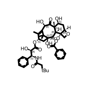 CC(=O)O[C@@]12CO[C@@H]1C[C@H](O)[C@@]1(C)C(=O)[C@H](O)C3=C(C)[C@@H](OC(=O)[C@H](O)[C@@H](NC(=O)CC(C)(C)C)c4ccccc4)C[C@@](O)([C@@H](OC(=O)c4ccccc4)[C@H]21)C3(C)C